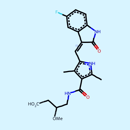 COC(CNC(=O)c1c(C)[nH]c(/C=C2\C(=O)Nc3ccc(F)cc32)c1C)CC(=O)O